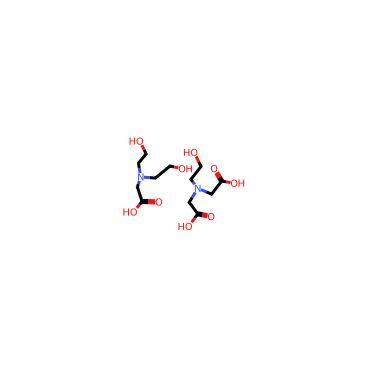 O=C(O)CN(CCO)CC(=O)O.O=C(O)CN(CCO)CCO